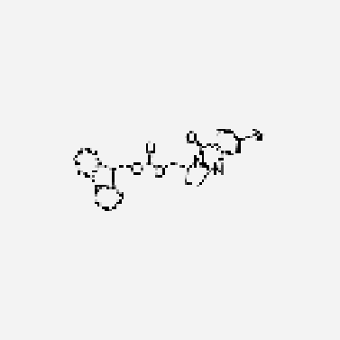 O=C(OCC1c2ccccc2-c2ccccc21)OCC1CCc2nc3cc(Br)ccc3c(=O)n21